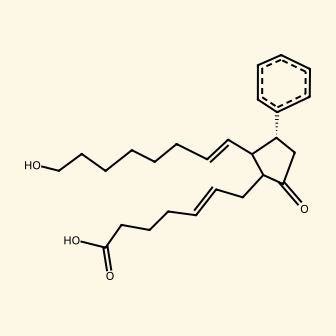 O=C(O)CCCC=CCC1C(=O)C[C@@H](c2ccccc2)C1C=CCCCCCCO